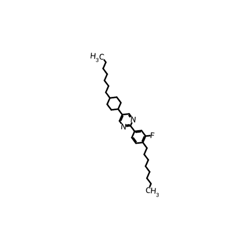 CCCCCCCCc1ccc(-c2ncc(C3CCC(CCCCCCC)CC3)cn2)cc1F